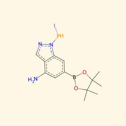 CC1(C)OB(c2cc(N)c3cnn(PI)c3c2)OC1(C)C